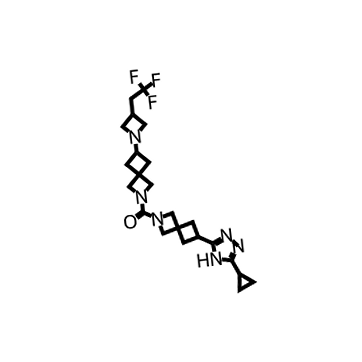 O=C(N1CC2(CC(c3nnc(C4CC4)[nH]3)C2)C1)N1CC2(CC(N3CC(CC(F)(F)F)C3)C2)C1